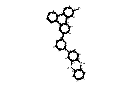 Fc1ccc2c3ccccc3c3cc(-c4cccc(-c5ccc6c(c5)Sc5ccccc5S6)n4)ccc3c2c1